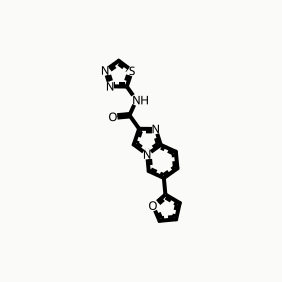 O=C(Nc1nncs1)c1cn2cc(-c3ccco3)ccc2n1